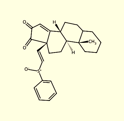 C[C@]12CCCCC1CC[C@H]1C3=CC(=O)C(=O)[C@@]3(C=C[S+]([O-])c3ccccc3)CC[C@@H]12